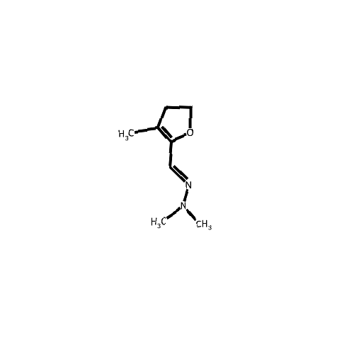 CC1=C(/C=N/N(C)C)OCC1